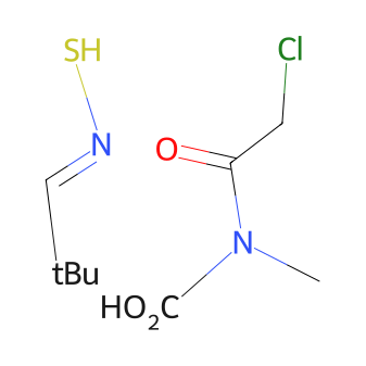 CC(C)(C)C=NS.CN(C(=O)O)C(=O)CCl